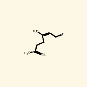 C=C(C)CC/C(C)=C\CF